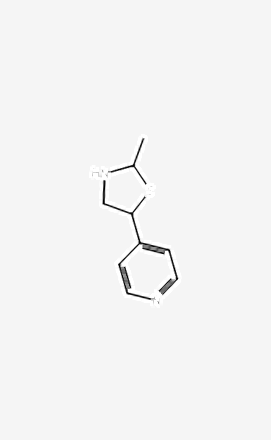 CC1NCC(c2ccncc2)S1